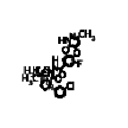 Cc1cc(Oc2ccc(C(=O)NC(C)C(=O)N3[C@H](c4cccc(Cl)c4)CC[C@@H]3C(C)(C)C#N)cc2F)c(=O)[nH]n1